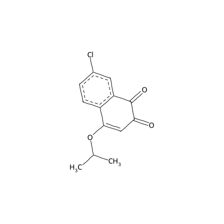 CC(C)OC1=CC(=O)C(=O)c2cc(Cl)ccc21